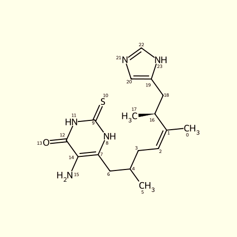 C/C(=C/CC(C)Cc1[nH]c(=S)[nH]c(=O)c1N)[C@@H](C)Cc1cnc[nH]1